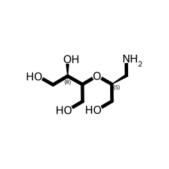 NC[C@@H](CO)OC(CO)[C@H](O)CO